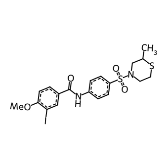 COc1ccc(C(=O)Nc2ccc(S(=O)(=O)N3CCSC(C)C3)cc2)cc1I